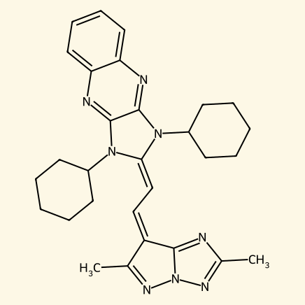 Cc1nc2/c(=C\C=C3N(C4CCCCC4)c4nc5ccccc5nc4N3C3CCCCC3)c(C)nn2n1